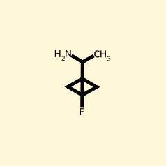 CC(N)C12CC1(F)C2